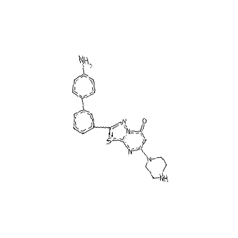 Nc1ccc(-c2cccc(-c3nn4c(=O)cc(N5CCNCC5)nc4s3)c2)cc1